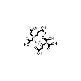 C[C@H](CC(=O)O)N(C(=O)O)C(=O)O.O=C(O)CCN(CC(=O)O)CC(=O)O